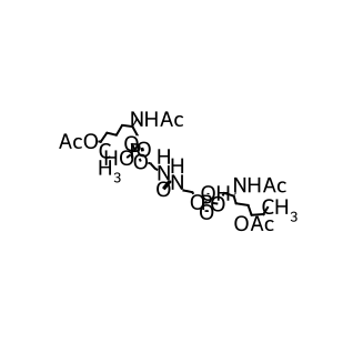 CC(=O)N[C@H](CCCC(C)OC(C)=O)COP(=O)(O)OCCNC(=O)NCCOP(=O)(O)OC[C@@H](CCCC(C)OC(C)=O)NC(C)=O